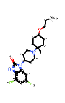 COCCOC1CCC(C)(N2CCC(n3c(=O)[nH]c4c(F)cc(F)cc43)CC2)CC1